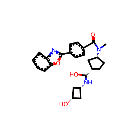 CN(C(=O)c1ccc(-c2nc3ccccc3o2)cc1)[C@@H]1CC[C@H](C(O)N[C@H]2C[C@@H](O)C2)C1